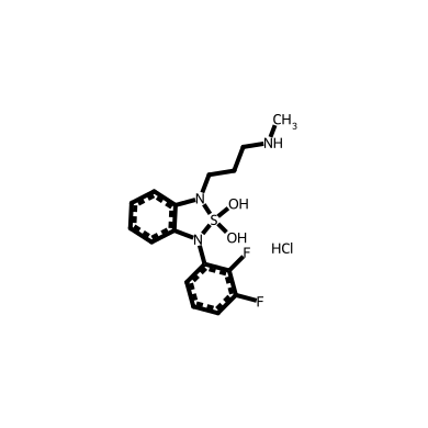 CNCCCN1c2ccccc2N(c2cccc(F)c2F)S1(O)O.Cl